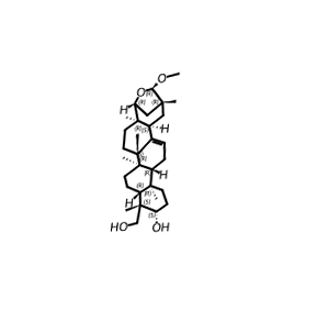 CO[C@@H]1O[C@@H]2C[C@@]1(C)C[C@H]1C3=CC[C@@H]4[C@@]5(C)CC[C@H](O)[C@](C)(CO)[C@@H]5CC[C@@]4(C)[C@]3(C)CC[C@@]21C